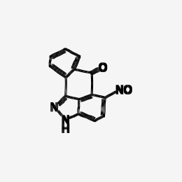 O=Nc1ccc2[nH]nc3c2c1C(=O)c1ccccc1-3